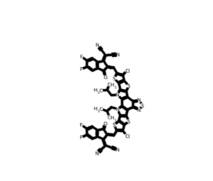 CC(C)Cn1c2c3sc(/C=C4\C(=O)c5cc(F)c(F)cc5C4=C(C#N)C#N)c(Cl)c3sc2c2c3nsnc3c3c4sc5c(Cl)c(/C=C6\C(=O)c7cc(F)c(F)cc7C6=C(C#N)C#N)sc5c4n(CC(C)C)c3c21